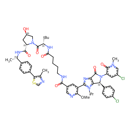 COc1ncc(C(=O)NCCCCC(=O)N[C@H](C(=O)N2C[C@H](O)C[C@H]2C(=O)N[C@@H](C)c2ccc(-c3scnc3C)cc2)C(C)(C)C)cc1-c1nc2c(n1C(C)C)[C@H](c1ccc(Cl)cc1)N(c1cc(Cl)cn(C)c1=O)C2=O